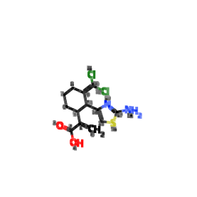 C=C(C(=O)O)C1CCCC(=C(Cl)Cl)C1c1csc(N)n1